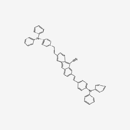 N#Cc1c2ccc(C=Cc3ccc(N(c4ccccc4)c4ccccc4)cc3)cc2cc2ccc(C=Cc3ccc(N(c4ccccc4)c4ccccc4)cc3)cc12